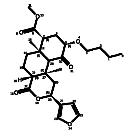 CCCCO[C@H]1C[C@@H](C(=O)OC)[C@]2(C)CC[C@H]3C(=O)O[C@H](c4ccoc4)C[C@]3(C)C2C1=O